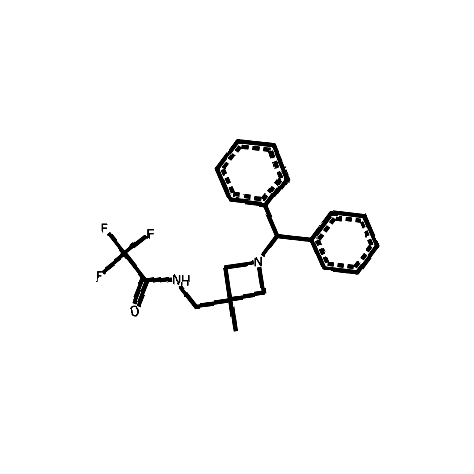 CC1(CNC(=O)C(F)(F)F)CN(C(c2ccccc2)c2ccccc2)C1